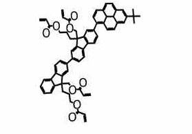 C=CC(=O)OCCCC1(COC(=O)C=C)c2ccccc2-c2ccc(-c3ccc4c(c3)C(CCCOC(=O)C=C)(COC(=O)C=C)c3cc(C5=C6C=CC7=CC(C(C)(C)C)=CC8=CC=C(C=C5)C6C87)ccc3-4)cc21